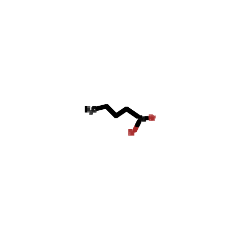 CCCC[As](Br)Br